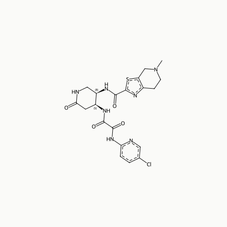 CN1CCc2nc(C(=O)N[C@@H]3CNC(=O)C[C@@H]3NC(=O)C(=O)Nc3ccc(Cl)cn3)sc2C1